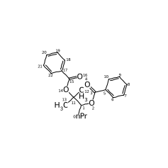 CCCC(OC(=O)c1ccccc1)C(C)(C)OC(=O)c1ccccc1